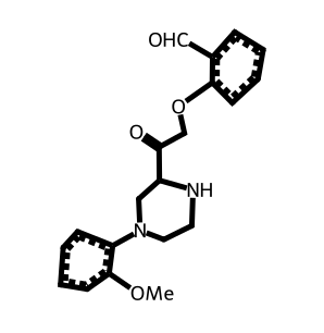 COc1ccccc1N1CCNC(C(=O)COc2ccccc2C=O)C1